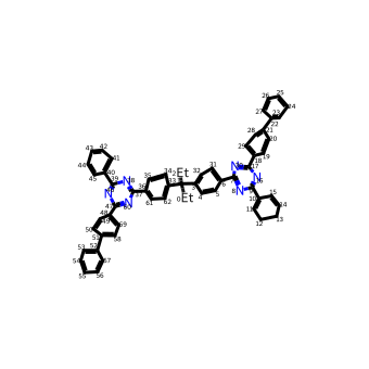 CCC(CC)(c1ccc(-c2nc(C3=CCCC=C3)nc(-c3ccc(-c4ccccc4)cc3)n2)cc1)c1ccc(-c2nc(-c3ccccc3)nc(-c3ccc(-c4ccccc4)cc3)n2)cc1